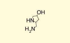 NCC1CC(O)CN1